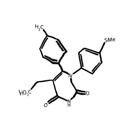 CSc1ccc(-n2c(-c3ccc(C)cc3)c(CC(=O)O)c(=O)[nH]c2=O)cc1